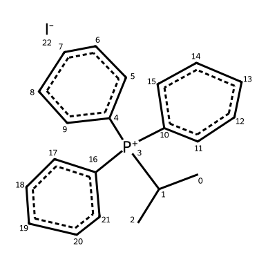 CC(C)[P+](c1ccccc1)(c1ccccc1)c1ccccc1.[I-]